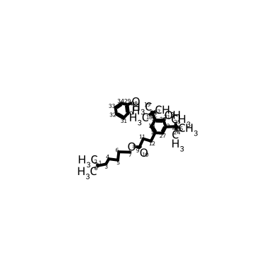 CC(C)CCCCCOC(=O)CCc1cc(C(C)(C)C)c(O)c(C(C)(C)C)c1.Oc1ccccc1